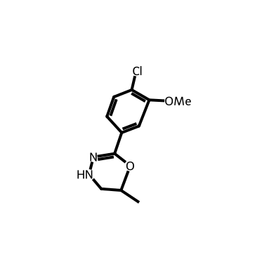 COc1cc(C2=NNCC(C)O2)ccc1Cl